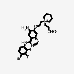 Nc1cc2c(Nc3ccc(Br)c(F)c3F)ncnc2cc1OCC[N+]1(CC[C]=O)CCCCC1